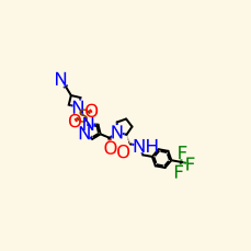 N#CC1CN(S(=O)(=O)n2cc(C(=O)N3CCC[C@@H]3C(=O)NCc3ccc(C(F)(F)F)cc3)cn2)C1